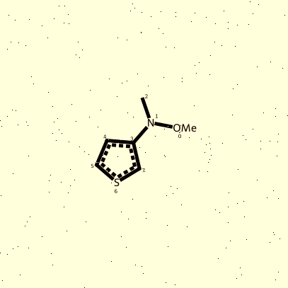 CON(C)c1ccsc1